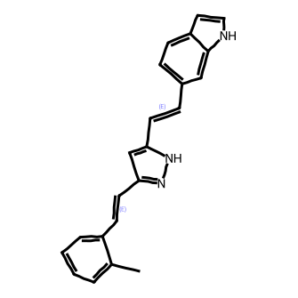 Cc1ccccc1/C=C/c1cc(/C=C/c2ccc3cc[nH]c3c2)[nH]n1